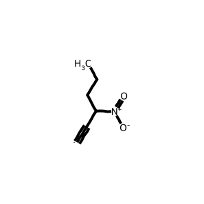 [C]#CC(CCC)[N+](=O)[O-]